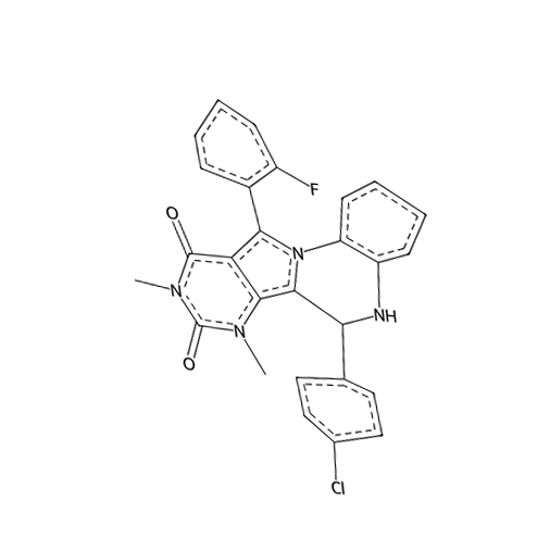 Cn1c(=O)c2c(-c3ccccc3F)n3c(c2n(C)c1=O)C(c1ccc(Cl)cc1)Nc1ccccc1-3